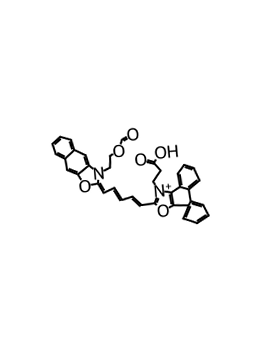 O=COCCN1\C(=C/C=C/C=C/c2oc3c4ccccc4c4ccccc4c3[n+]2CCC(=O)O)Oc2cc3ccccc3cc21